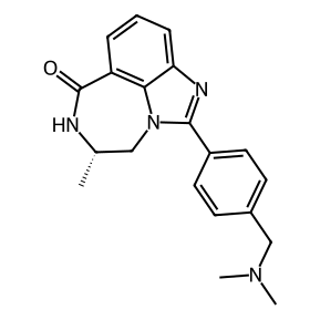 C[C@H]1Cn2c(-c3ccc(CN(C)C)cc3)nc3cccc(c32)C(=O)N1